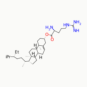 CC[C@H](CC[C@@H](C)[C@H]1CC[C@H]2[C@@H]3CC=C4C[C@@H](OC(=O)[C@@H](N)CCCNC(=N)N)CC[C@]4(C)[C@H]3CC[C@]12C)C(C)C